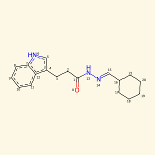 O=C(CCc1c[nH]c2ccccc12)N/N=C/C1CCCCC1